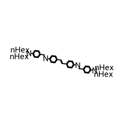 CCCCCCN(CCCCCC)c1ccc(C=Nc2ccc(C=Cc3ccc(N=Cc4ccc(N(CCCCCC)CCCCCC)cc4)cc3)cc2)cc1